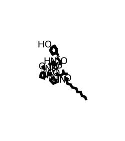 CCCCCCCCCC(=O)N[C@H](C(=O)N1CCC[C@H]1C(=O)N1CCC[C@H]1C(=O)NCC(=O)N[C@@H](Cc1ccc(O)cc1)C(=O)O)C(C)C